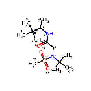 CC(NC(=O)CN(C(C)(C)C)S(C)(=O)=O)C(C)(C)C